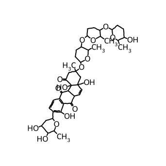 CC1OC(OC2CCC(OC3CCC(OC4(C)CC(=O)C5(O)C6C(=O)c7ccc(C8CC(O)C(O)C(C)O8)c(O)c7C(=O)C6C=CC5(O)C4)OC3C)OC2C)CCC1O